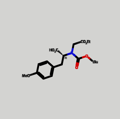 CCOC(=O)CN(C(=O)OC(C)(C)C)[C@H](Cc1ccc(OC)cc1)C(=O)O